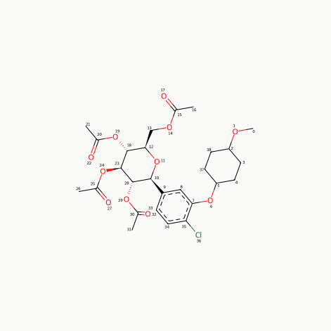 COC1CCC(Oc2cc([C@@H]3O[C@H](COC(C)=O)[C@@H](OC(C)=O)[C@H](OC(C)=O)[C@H]3OC(C)=O)ccc2Cl)CC1